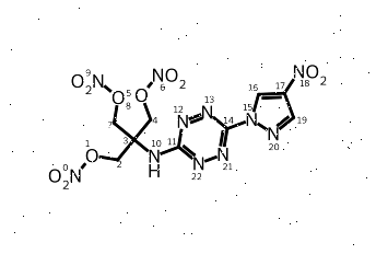 O=[N+]([O-])OCC(CO[N+](=O)[O-])(CO[N+](=O)[O-])Nc1nnc(-n2cc([N+](=O)[O-])cn2)nn1